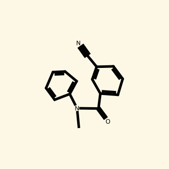 CN(C(=O)c1cccc(C#N)c1)c1ccccc1